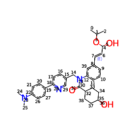 CC(C)OC(O)/C=C/c1cccc(N(Cc2ccc(-c3ccc(N(C)C)cc3)nc2)C(=O)C2CCC(O)CC2)c1